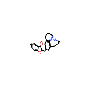 O=C1/C(=C\c2cc3c4c(c2)CCCN4CCC3)Oc2ccccc21